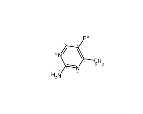 Cc1nc(N)ncc1F